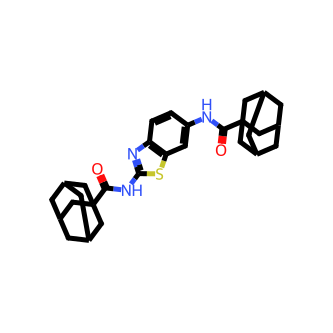 O=C(Nc1ccc2nc(NC(=O)C34CC5CC(CC(C5)C3)C4)sc2c1)C12CC3CC(CC(C3)C1)C2